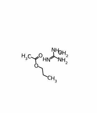 CCCOC(C)=O.N=C(N)N.O